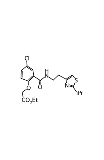 CCOC(=O)COc1ccc(Cl)cc1C(=O)NCCc1csc(C(C)C)n1